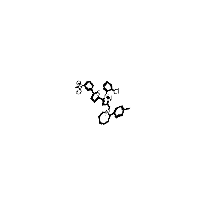 Cc1ccc(C2CCCCCN2Cc2cc(-c3ccc(-c4cccc(S(C)(=O)=O)c4)s3)n(-c3ccccc3Cl)n2)cc1